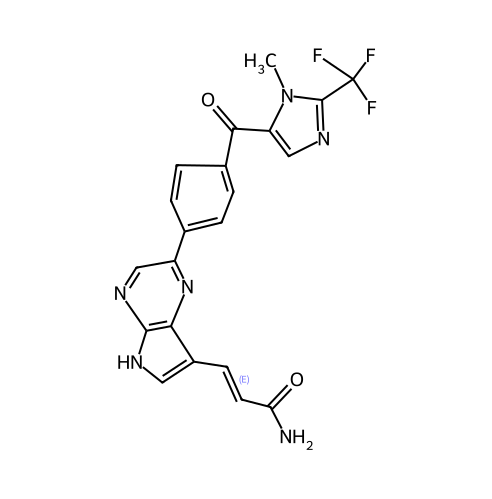 Cn1c(C(=O)c2ccc(-c3cnc4[nH]cc(/C=C/C(N)=O)c4n3)cc2)cnc1C(F)(F)F